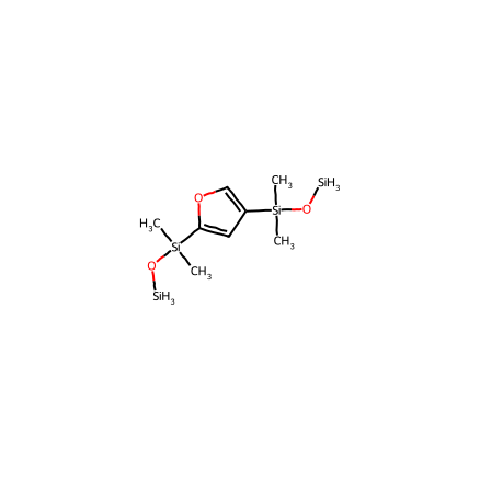 C[Si](C)(O[SiH3])c1coc([Si](C)(C)O[SiH3])c1